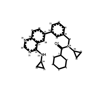 O=C(C1CCCCC1)N(Cc1cccc(-c2ccc3ncnc(NC4CC4)c3c2)c1)C1CC1